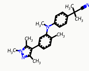 Cc1ccc(-c2c(C)nn(C)c2C)cc1N(C)c1ccc(C(C)(C)C#N)cc1